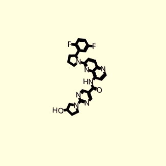 O=C(Nc1ccnc2ccc(N3CCCC3c3cc(F)ccc3F)nc12)c1cnc(N2CCC(O)C2)nc1